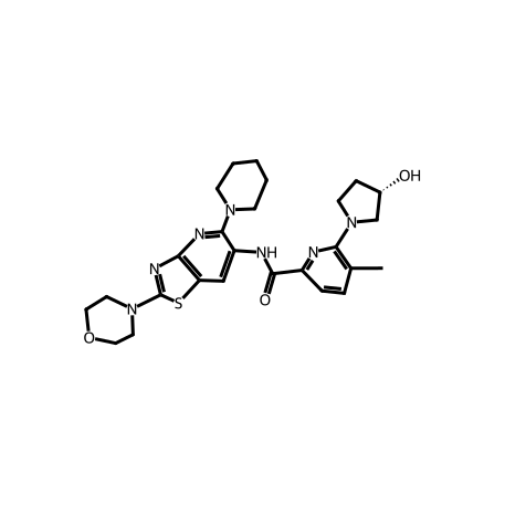 Cc1ccc(C(=O)Nc2cc3sc(N4CCOCC4)nc3nc2N2CCCCC2)nc1N1CC[C@H](O)C1